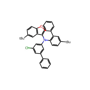 CC(C)(C)c1ccc(N(c2cc(Cl)cc(-c3ccccc3)c2)c2coc3ccc(C(C)(C)C)cc23)c(-c2ccccc2)c1